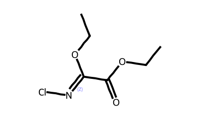 CCOC(=O)/C(=N/Cl)OCC